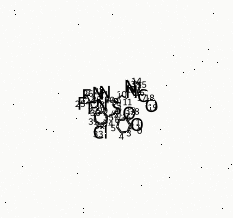 COc1cccc([C@H]2S[C@H](CCn3nccc3CC=O)c3nnc(C(F)(F)F)n3-c3ccc(Cl)cc32)c1OC